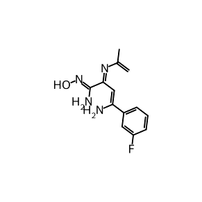 C=C(C)/N=C(\C=C(/N)c1cccc(F)c1)C(/N)=N/O